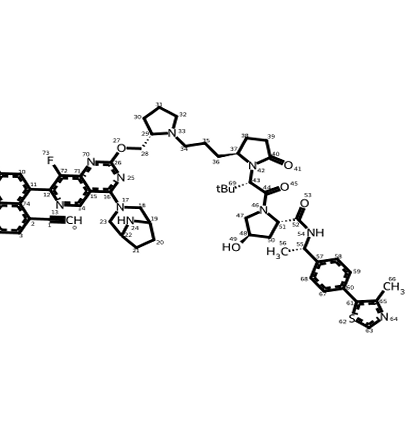 C#Cc1cccc2cc(O)cc(-c3ncc4c(N5CC6CCC(C5)N6)nc(OC[C@@H]5CCCN5CCC[C@H]5CCC(=O)N5[C@H](C(=O)N5C[C@H](O)C[C@H]5C(=O)N[C@@H](C)c5ccc(-c6scnc6C)cc5)C(C)(C)C)nc4c3F)c12